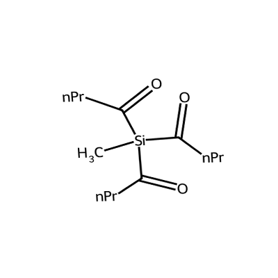 CCCC(=O)[Si](C)(C(=O)CCC)C(=O)CCC